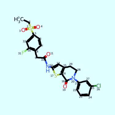 CCS(=O)(=O)c1ccc(CC(=O)Nc2cc3c(s2)C(=O)N(c2cccc(Cl)c2)CC3)c(F)c1